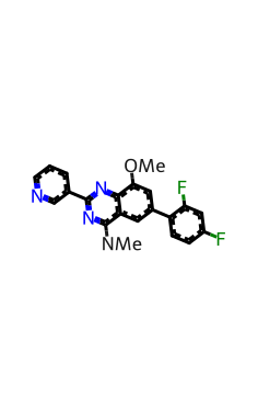 CNc1nc(-c2cccnc2)nc2c(OC)cc(-c3ccc(F)cc3F)cc12